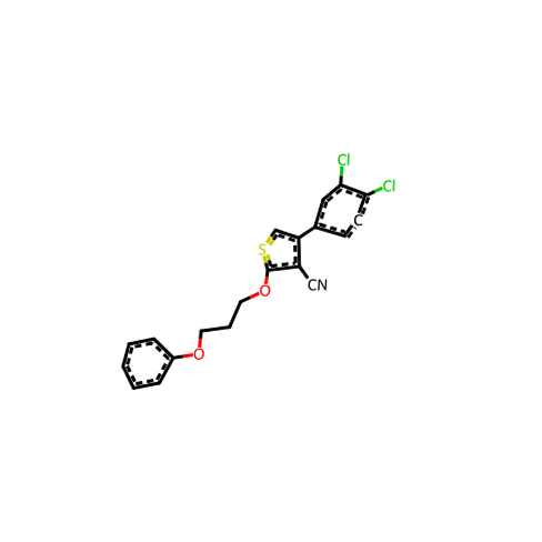 N#Cc1c(-c2ccc(Cl)c(Cl)c2)csc1OCCCOc1ccccc1